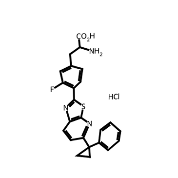 Cl.NC(Cc1ccc(-c2nc3ccc(C4(c5ccccc5)CC4)nc3s2)c(F)c1)C(=O)O